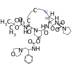 CC(C)(C)OC(=O)N[C@H]1CCCCC/C=C\[C@@H]2C[C@@]2(C(=O)NS(=O)(=O)N2CCCC2)NC(=O)C2C[C@@H](OC(=O)NC(CN3CCOCC3)c3ccccc3)CN2C1=O